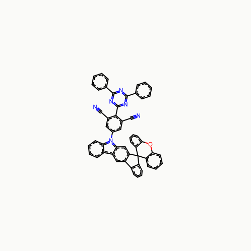 N#Cc1cc(-n2c3ccccc3c3cc4c(cc32)C2(c3ccccc3Oc3ccccc32)c2ccccc2-4)cc(C#N)c1-c1nc(-c2ccccc2)nc(-c2ccccc2)n1